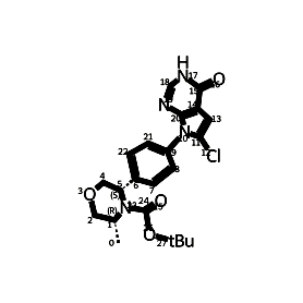 C[C@@H]1COC[C@H](c2ccc(-n3c(Cl)cc4c(=O)[nH]cnc43)cc2)N1C(=O)OC(C)(C)C